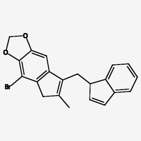 CC1=C(CC2C=Cc3ccccc32)c2cc3c(c(Br)c2C1)OCO3